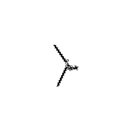 CCCCCCCCCCCC=CC=CC(=O)OC[C@H](COP(=O)([O-])OCC[N+](C)(C)C)OC(=O)C=CC=CCCCCCCCCCCC